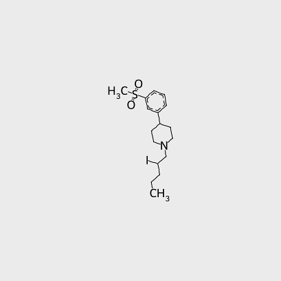 CCCC(I)CN1CCC(c2cccc(S(C)(=O)=O)c2)CC1